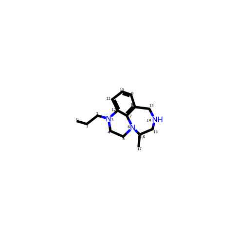 CCCN1CCN2c3c(cccc31)CNCC2C